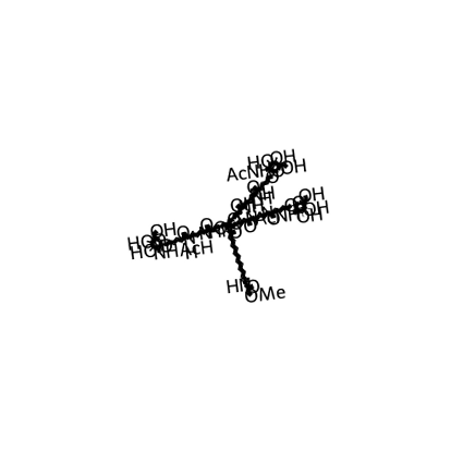 COCC(=O)NCCCCCCCCCCCCC(=O)NC(COCCC(=O)NCCCNC(=O)CCCCO[C@@H]1OC(CO)[C@H](O)[C@H](O)C1NC(C)=O)(COCCC(=O)NCCCNC(=O)CCCCO[C@@H]1OC(CO)[C@H](O)[C@H](O)C1NC(C)=O)COCCC(=O)NCCCNC(=O)CCCCO[C@@H]1OC(CO)[C@H](O)[C@H](O)C1NC(C)=O